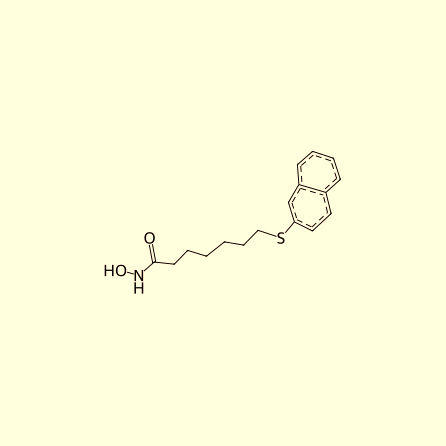 O=C(CCCCCCSc1ccc2ccccc2c1)NO